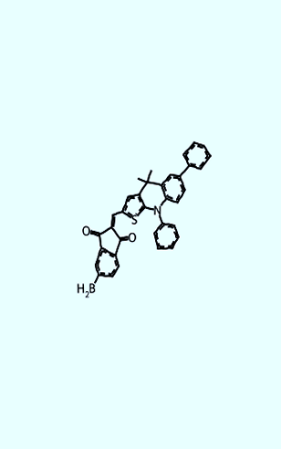 Bc1ccc2c(c1)C(=O)/C(=C/c1cc3c(s1)N(c1ccccc1)c1ccc(-c4ccccc4)cc1C3(C)C)C2=O